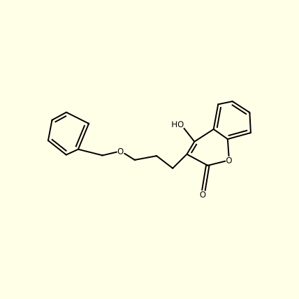 O=c1oc2ccccc2c(O)c1CCCOCc1ccccc1